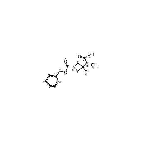 C[C@@H](C(=O)O)C1(O)CN(C(=O)OCc2ccccc2)C1